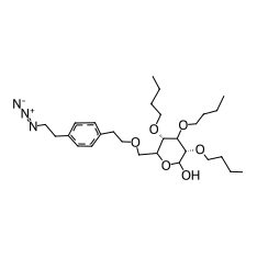 CCCCOC1[C@H](OCCCC)C(O)OC(COCCc2ccc(CCN=[N+]=[N-])cc2)[C@@H]1OCCCC